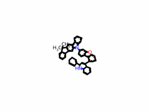 CC1(C)c2ccccc2-c2cc3c(cc21)c1ccccc1n3-c1ccc2c(c1)oc1cccc(C3=CC(C4=CCCC=C4)NC4C=CC=CC34)c12